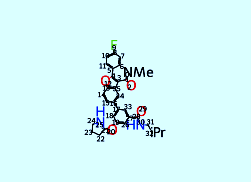 CNC(=O)c1c(-c2ccc(F)cc2)oc2ccc(-c3cc(OC4CCCN4)cc(C(=O)NCC(C)C)c3)cc12